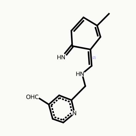 CC1=C/C(=C/NCc2cc(C=O)ccn2)C(=N)C=C1